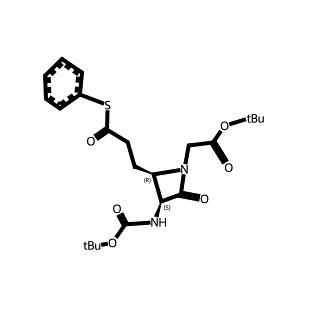 CC(C)(C)OC(=O)CN1C(=O)[C@@H](NC(=O)OC(C)(C)C)[C@H]1CCC(=O)Sc1ccccc1